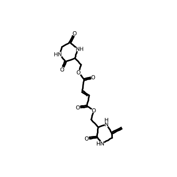 C=C1CNC(=O)C(COC(=O)/C=C/C(=O)OCC2NC(=O)CNC2=O)N1